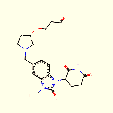 Cn1c(=O)n(C2CCC(=O)NC2=O)c2ccc(CN3CC[C@@H](OCCC=O)C3)cc21